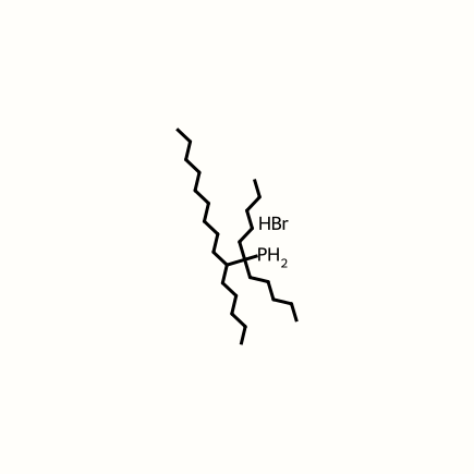 Br.CCCCCCCCCC(CCCCC)C(P)(CCCCC)CCCCC